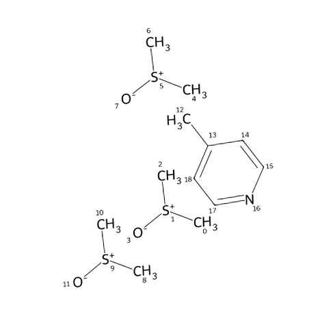 C[S+](C)[O-].C[S+](C)[O-].C[S+](C)[O-].Cc1ccncc1